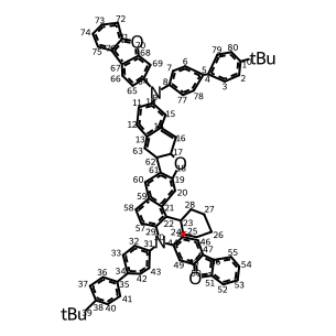 CC(C)(C)c1ccc(-c2ccc(N(c3ccc4c(c3)=CC3Oc5cc6c(C7CCCCC7)c(N(c7ccc(-c8ccc(C(C)(C)C)cc8)cc7)c7ccc8c(c7)oc7ccccc78)ccc6cc5C3C=4)c3ccc4c(c3)oc3ccccc34)cc2)cc1